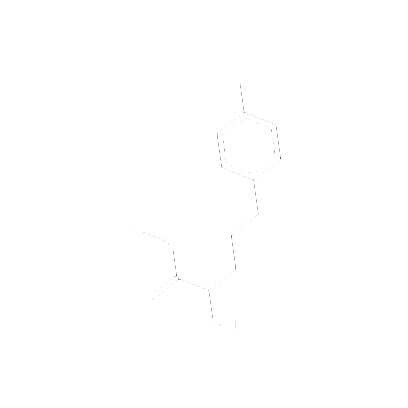 CCC(C)OC(=O)C(CCCc1ccc(Cl)cc1)C(=O)O